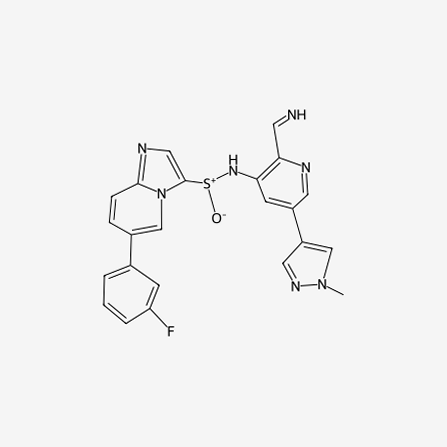 Cn1cc(-c2cnc(C=N)c(N[S+]([O-])c3cnc4ccc(-c5cccc(F)c5)cn34)c2)cn1